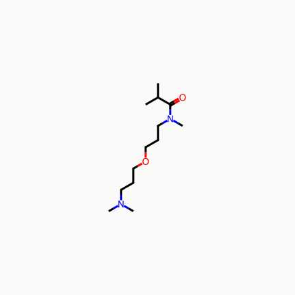 CC(C)C(=O)N(C)CCCOCCCN(C)C